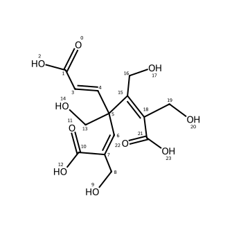 O=C(O)C=CC(C=C(CO)C(=O)O)(CO)C(CO)=C(CO)C(=O)O